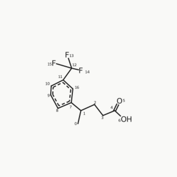 CC(CCC(=O)O)c1cccc(C(F)(F)F)c1